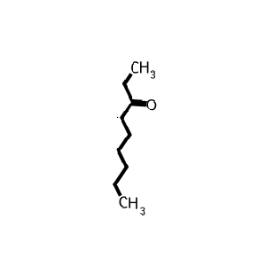 CCCCC[CH]C(=O)CC